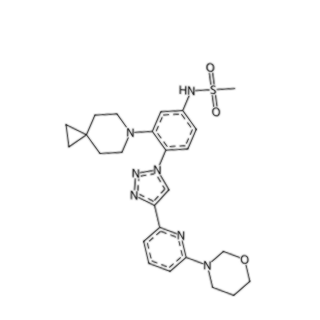 CS(=O)(=O)Nc1ccc(-n2cc(-c3cccc(N4CCCOC4)n3)nn2)c(N2CCC3(CC2)CC3)c1